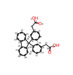 O=C(O)Cc1cccc(C2(c3cccc(CC(=O)O)c3)c3ccccc3-c3ccccc32)c1